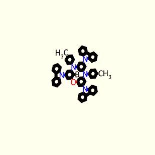 Cc1ccc(N2c3cc(-n4c5ccccc5c5ccccc54)cc4c3B3c5c(cc(-n6c7ccccc7c7ccccc76)cc5N(c5ccc(C)cc5)c5cc(-n6c7ccccc7c7ccccc76)cc2c53)O4)cc1